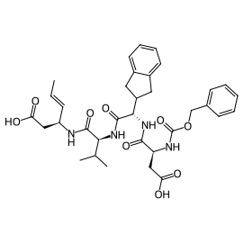 C/C=C/[C@H](CC(=O)O)NC(=O)[C@@H](NC(=O)[C@@H](NC(=O)[C@H](CC(=O)O)NC(=O)OCc1ccccc1)C1Cc2ccccc2C1)C(C)C